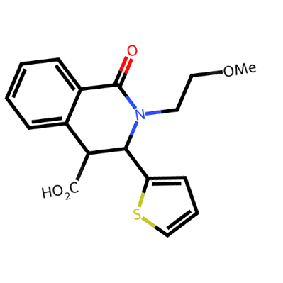 COCCN1C(=O)c2ccccc2C(C(=O)O)C1c1cccs1